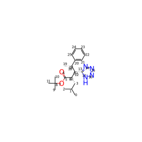 CC(C)C[C@H](C(=O)OC(C)(C)C)[C@@H](c1nnn[nH]1)[C@H](C)c1ccccc1